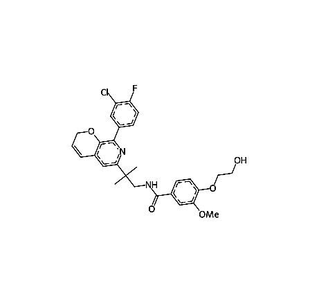 COc1cc(C(=O)NCC(C)(C)c2cc3c(c(-c4ccc(F)c(Cl)c4)n2)OCC=C3)ccc1OCCO